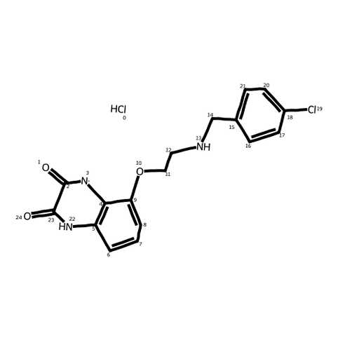 Cl.O=C1[N]c2c(cccc2OCCNCc2ccc(Cl)cc2)NC1=O